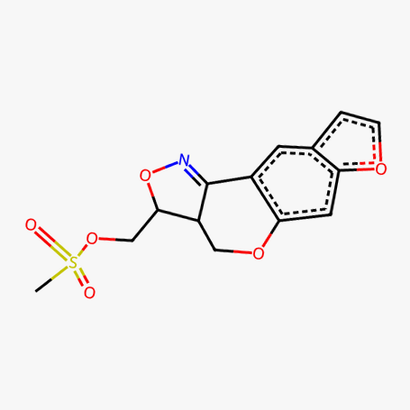 CS(=O)(=O)OCC1ON=C2c3cc4ccoc4cc3OCC21